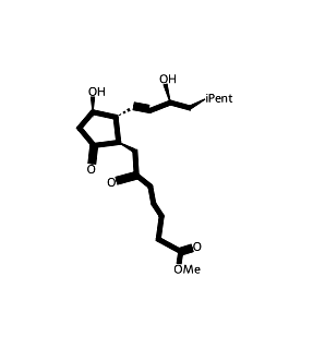 CCC[C@H](C)C[C@H](O)/C=C/[C@H]1[C@H](O)CC(=O)[C@@H]1CC(=O)CCCCC(=O)OC